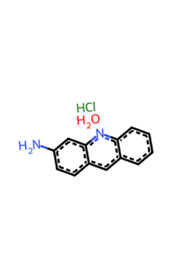 Cl.Nc1ccc2cc3ccccc3nc2c1.O